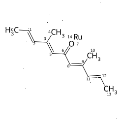 C/C=C/C(C)=C/C(=O)/C=C(C)/C=C/C.[Ru]